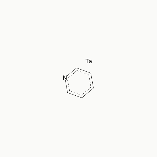 [Ta].c1ccncc1